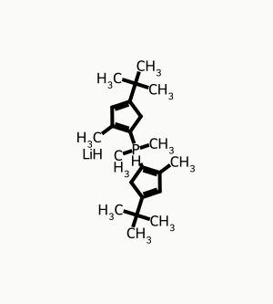 CC1=C([PH](C)(C)C2=C(C)C=C(C(C)(C)C)C2)CC(C(C)(C)C)=C1.[LiH]